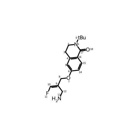 CC(C)(C)N1CCc2cc(OC/C(=C/F)CN)ccc2C1=O